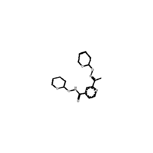 C/C(=N\OC1CCCCO1)c1cc(C(=O)NOC2CCCCO2)ccn1